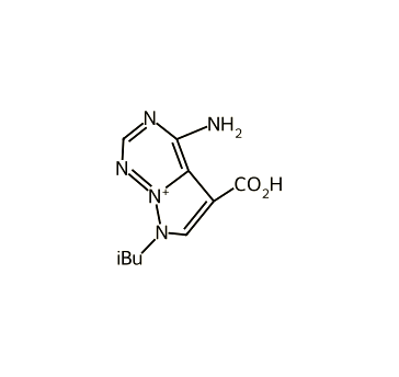 CCC(C)n1cc(C(=O)O)c2c(N)ncn[n+]21